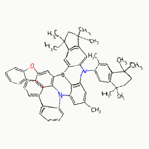 Cc1cc2c3c(c1)N(c1ccccc1-c1ccccc1)c1cc4c(cc1B3c1cc3c(cc1N2c1cc2c(cc1C)C(C)(C)CCC2(C)C)C(C)(C)CC3(C)C)oc1ccccc14